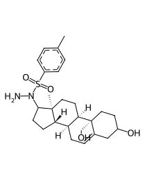 Cc1ccc(S(=O)(=O)N(N)C2CC[C@H]3[C@@H]4CC=C5CC(O)CC[C@]5(CO)[C@@H]4CC[C@]23C)cc1